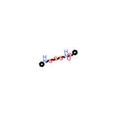 O=C(NCCOCCOCCOCCNc1ccccc1)OCc1ccccc1